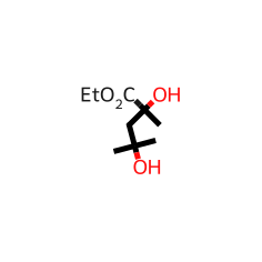 CCOC(=O)C(C)(O)CC(C)(C)O